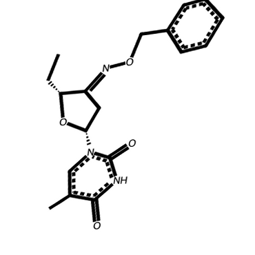 CC[C@H]1O[C@@H](n2cc(C)c(=O)[nH]c2=O)CC1=NOCc1ccccc1